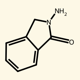 NN1Cc2ccccc2C1=O